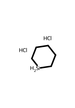 C1CC[SiH2]CC1.Cl.Cl